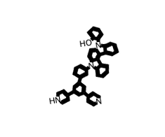 Oc1ccccc1-n1c2c(c3ccccc31)=c1c(n(-c3cccc(-c4cc(C5=CCNC=C5)cc(-c5ccncc5)c4)c3)c3ccccc13)=C=C=2